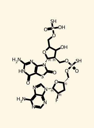 Nc1nc2c(sc(=O)n2[C@@H]2OC(COP(=O)(O)S)C(O)[C@H]2COP(=O)(S)OC[C@@H]2C[C@@H](F)[C@H](n3cnc4c(N)ncnc43)O2)c(=O)[nH]1